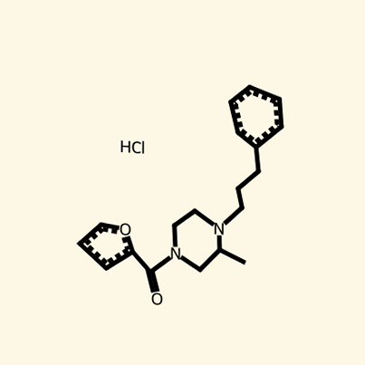 CC1CN(C(=O)c2ccco2)CCN1CCCc1ccccc1.Cl